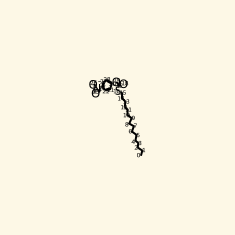 CCCCCCCCCCCCCCCCSC(=O)Oc1ccc([N+](=O)[O-])cc1